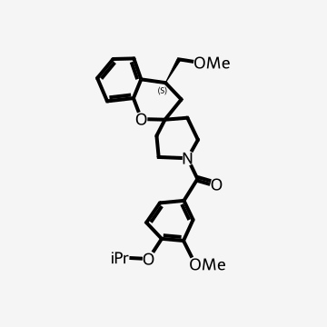 COC[C@H]1CC2(CCN(C(=O)c3ccc(OC(C)C)c(OC)c3)CC2)Oc2ccccc21